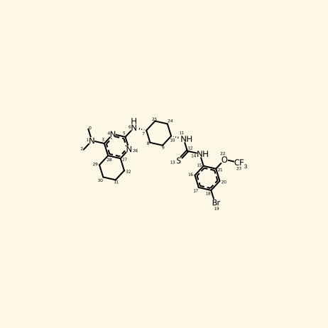 CN(C)c1nc(N[C@H]2CC[C@@H](NC(=S)Nc3ccc(Br)cc3OC(F)(F)F)CC2)nc2c1CCCC2